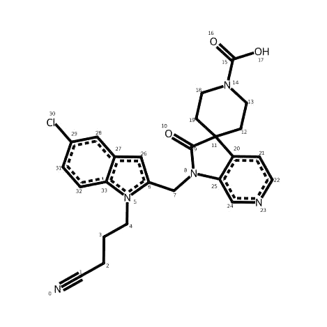 N#CCCCn1c(CN2C(=O)C3(CCN(C(=O)O)CC3)c3ccncc32)cc2cc(Cl)ccc21